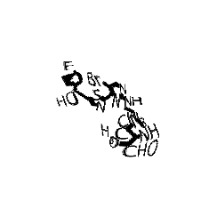 CC1(C)C(C(=O)C=O)NCN1CCNc1ncc(Br)c(-c2ncc(C(O)c3ccc(F)cc3)s2)n1